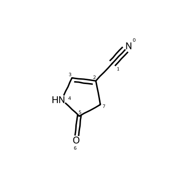 N#CC1=CNC(=O)C1